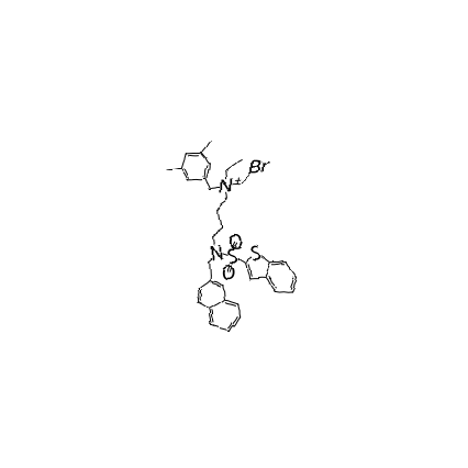 CC[N+](CBr)(CCCCN(Cc1ccc2ccccc2c1)S(=O)(=O)c1cc2ccccc2s1)Cc1cc(C)cc(C)c1